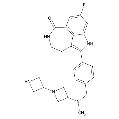 CN(Cc1ccc(-c2[nH]c3cc(F)cc4c3c2CCNC4=O)cc1)C1CN(C2CNC2)C1